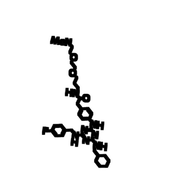 CNCCOCCOCCCNC(=O)Cc1ccc(Nc2nc(NCc3ccc(F)cc3)nc(NCC3CCCCC3)n2)cc1